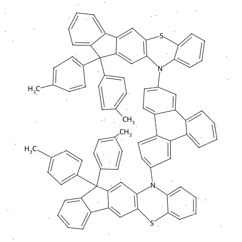 Cc1ccc(C2(c3ccc(C)cc3)c3ccccc3-c3cc4c(cc32)N(c2ccc3c5ccc(N6c7ccccc7Sc7cc8c(cc76)C(c6ccc(C)cc6)(c6ccc(C)cc6)c6ccccc6-8)cc5c5ccccc5c3c2)c2ccccc2S4)cc1